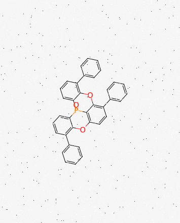 O=P12c3cccc(-c4ccccc4)c3Oc3ccc(-c4ccccc4)c(c31)Oc1c(-c3ccccc3)cccc12